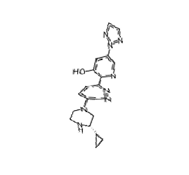 Oc1cc(-n2nccn2)cnc1-c1ccc(N2CCN[C@@H](C3CC3)C2)nn1